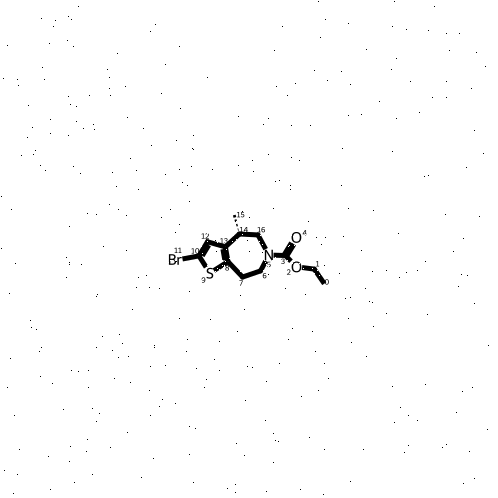 CCOC(=O)N1CCc2sc(Br)cc2[C@H](C)C1